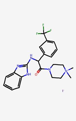 C[N+]1(C)CCN(C(=O)C(Nc2nc3ccccc3[nH]2)c2cccc(C(F)(F)F)c2)CC1.[I-]